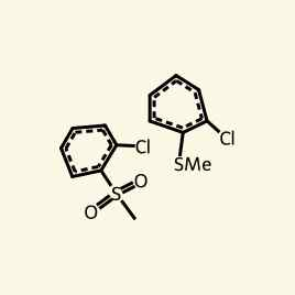 CS(=O)(=O)c1ccccc1Cl.CSc1ccccc1Cl